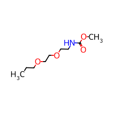 CCCOCCOCCNC(=O)OC